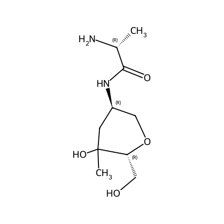 C[C@@H](N)C(=O)N[C@H]1CO[C@H](CO)C(C)(O)C1